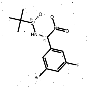 CC(C)(C)[S@+]([O-])N[C@@H](c1cc(F)cc(Br)c1)[N+](=O)[O-]